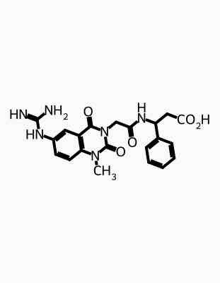 Cn1c(=O)n(CC(=O)NC(CC(=O)O)c2ccccc2)c(=O)c2cc(NC(=N)N)ccc21